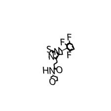 Cn1c(CCC(=O)N[C@@H]2CCOC2)c2n(c1=S)C[C@@H](c1c(F)ccc(F)c1F)C2